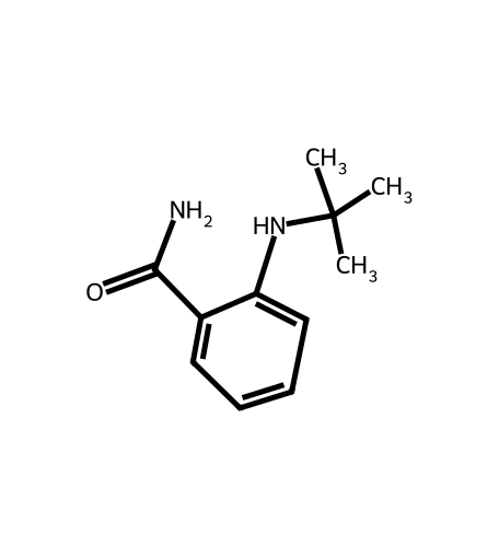 CC(C)(C)Nc1ccccc1C(N)=O